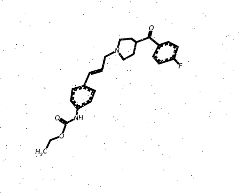 CCOC(=O)Nc1ccc(C=CCN2CCC(C(=O)c3ccc(F)cc3)CC2)cc1